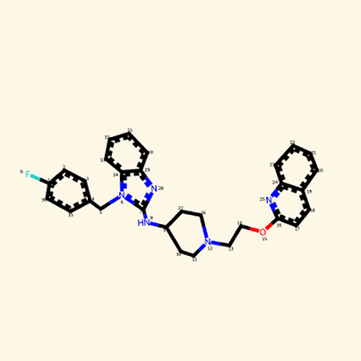 Fc1ccc(Cn2c(NC3CCN(CCOc4ccc5ccccc5n4)CC3)nc3ccccc32)cc1